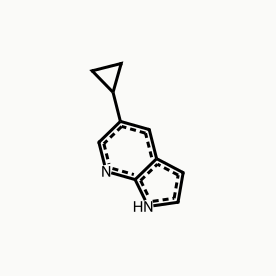 c1cc2cc(C3CC3)cnc2[nH]1